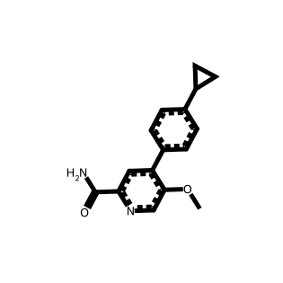 COc1cnc(C(N)=O)cc1-c1ccc(C2CC2)cc1